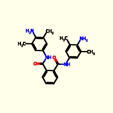 Cc1cc(NC(=O)c2ccccc2C(=O)Nc2cc(C)c(N)c(C)c2)cc(C)c1N